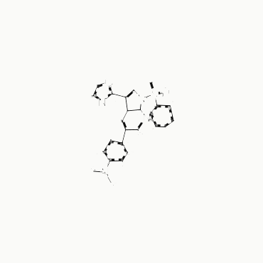 C=S(=O)(c1ccccc1)N1C=C(c2ncco2)C2C=C(c3ccc(N(C)C)cc3)C=NC21